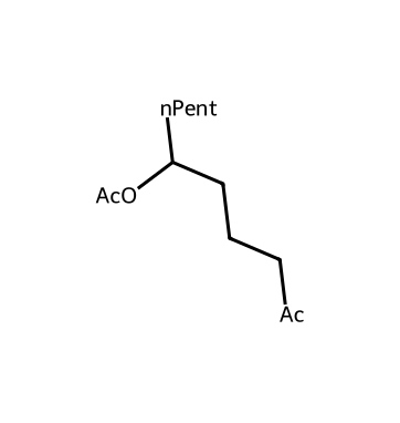 CCCCCC(CCCC(C)=O)OC(C)=O